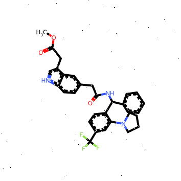 COC(=O)Cc1c[nH]c2ccc(CC(=O)NC(c3ccccc3)c3ccc(C(F)(F)F)cc3N3CCCC3)cc12